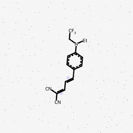 [C-]#[N+]/C(C#N)=C\C=C\c1ccc(N(CC)CC(F)(F)F)cc1